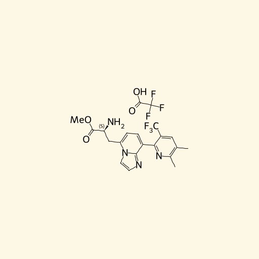 COC(=O)[C@@H](N)Cc1ccc(-c2nc(C)c(C)cc2C(F)(F)F)c2nccn12.O=C(O)C(F)(F)F